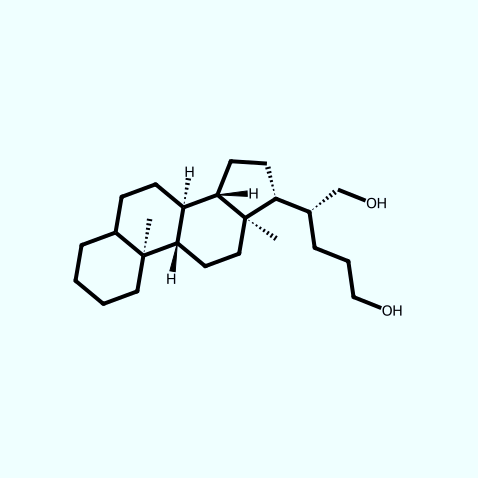 C[C@]12CC[C@H]3[C@@H](CCC4CCCC[C@@]43C)[C@@H]1CC[C@@H]2[C@H](CO)CCCO